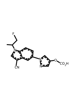 CC(CF)n1cc(C#N)c2cc(-n3cc(OC(=O)O)cn3)ccc21